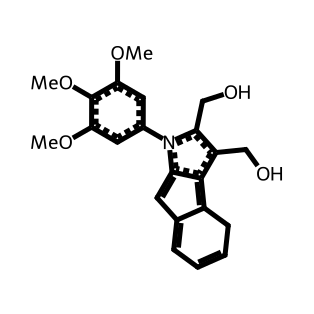 COc1cc(-n2c(CO)c(CO)c3c2=CC2=CC=CCC=32)cc(OC)c1OC